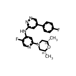 C[C@@H]1CN(c2cc(Nc3cc(-c4ccc(F)cc4)cnn3)c(F)cn2)C[C@H](C)O1